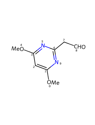 COc1cc(OC)nc(CC=O)n1